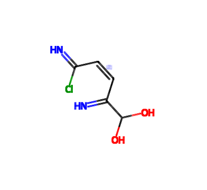 N=C(Cl)/C=C\C(=N)C(O)O